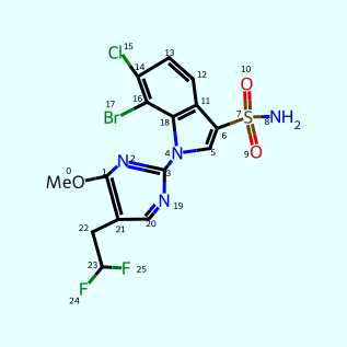 COc1nc(-n2cc(S(N)(=O)=O)c3ccc(Cl)c(Br)c32)ncc1CC(F)F